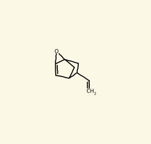 C=CC1CC23CC1C=C2O3